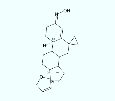 C[C@]12CCC3C(CC4(CC4)C4=CC(=NO)CC[C@@H]43)C1CC[C@@]21C=CCO1